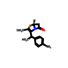 CCOC(=O)C1=C(C(C(=O)O)c2ccc([N+](=O)[O-])cc2)N2C(=O)C[C@@H]2S1